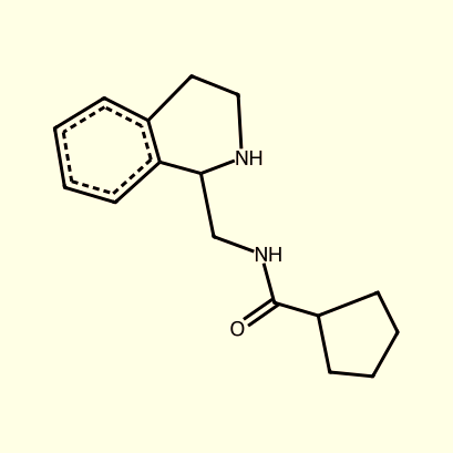 O=C(NCC1NCCc2ccccc21)C1CCCC1